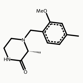 COc1cc(C)ccc1CN1CCNC(=O)[C@H]1C